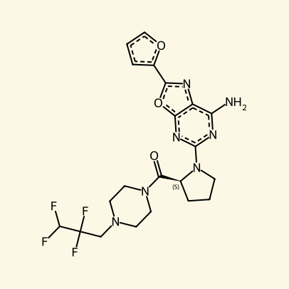 Nc1nc(N2CCC[C@H]2C(=O)N2CCN(CC(F)(F)C(F)F)CC2)nc2oc(-c3ccco3)nc12